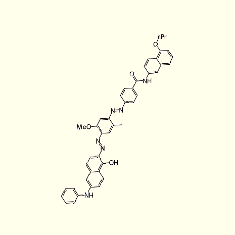 CCCOc1cccc2cc(NC(=O)c3ccc(N=Nc4cc(OC)c(N=Nc5ccc6cc(Nc7ccccc7)ccc6c5O)cc4C)cc3)ccc12